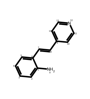 Nc1ccccc1C=Cc1ccncc1